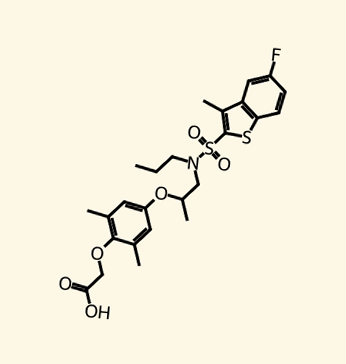 CCCN(CC(C)Oc1cc(C)c(OCC(=O)O)c(C)c1)S(=O)(=O)c1sc2ccc(F)cc2c1C